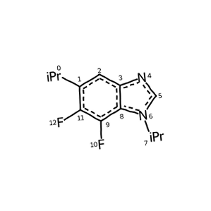 CC(C)c1cc2ncn(C(C)C)c2c(F)c1F